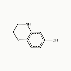 Oc1ccc2c(c1)NCCS2